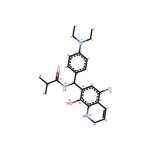 CCN(CC)c1ccc(C(NC(=O)C(C)C)c2cc(Cl)c3c(c2O)NCC=C3)cc1